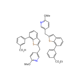 CCOC(=O)c1cccc(-c2cccc3cc(Cc4ccc(OC)nc4)sc23)c1.COc1ccc(Cc2cc3cccc(-c4cccc(C(=O)O)c4)c3s2)cn1